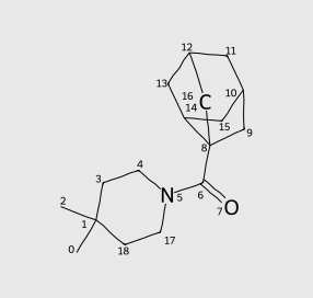 CC1(C)CCN(C(=O)C23CC4CC(CC2C4)C3)CC1